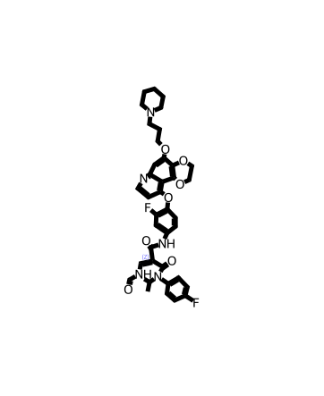 CC(C)N(C(=O)/C(=C\NC=O)C(=O)Nc1ccc(Oc2ccnc3cc(OCCCN4CCCCC4)c4c(c23)OCCO4)c(F)c1)c1ccc(F)cc1